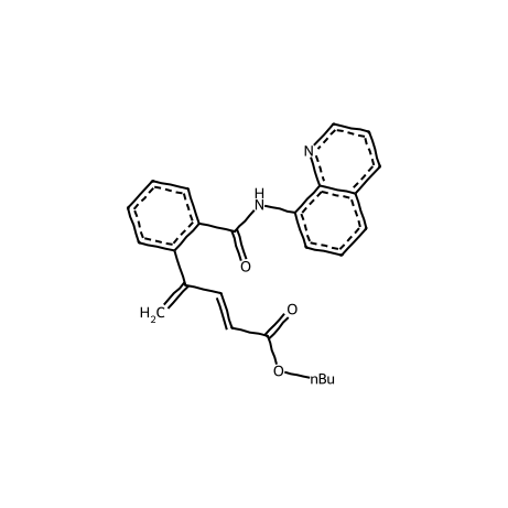 C=C(/C=C/C(=O)OCCCC)c1ccccc1C(=O)Nc1cccc2cccnc12